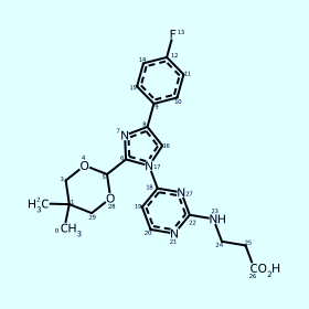 CC1(C)COC(c2nc(-c3ccc(F)cc3)cn2-c2ccnc(NCCC(=O)O)n2)OC1